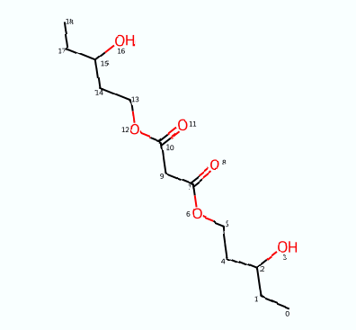 CCC(O)CCOC(=O)CC(=O)OCCC(O)CC